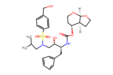 CC(C)CN(C[C@@H](O)[C@H](Cc1ccccc1)NC(=O)O[C@H]1CCO[C@H]2OCC[C@H]21)S(=O)(=O)c1ccc(CO)cc1